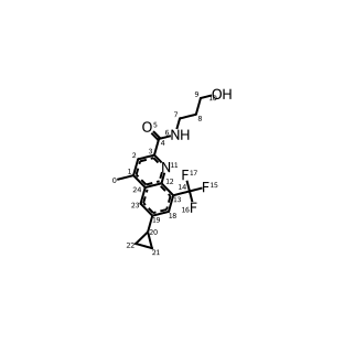 Cc1cc(C(=O)NCCCO)nc2c(C(F)(F)F)cc(C3CC3)cc12